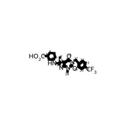 Cn1c(NC2CCCC(C(=O)O)C2)nc2c1c(=O)n(Cc1ccc(C(F)(F)F)cc1)c(=O)n2C